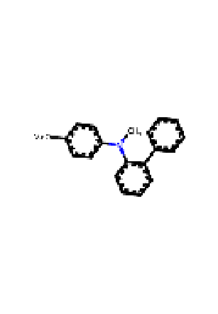 COc1ccc(N(C)c2ccccc2-c2ccccc2)cc1